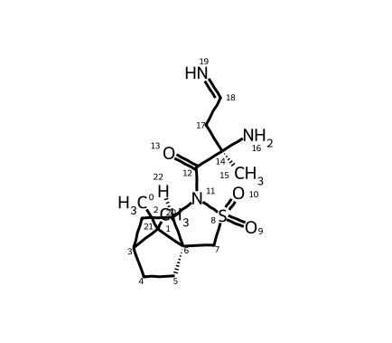 CC1(C)C2CC[C@]13CS(=O)(=O)N(C(=O)[C@](C)(N)CC=N)[C@@H]3C2